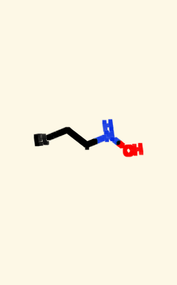 CCC[CH]NO